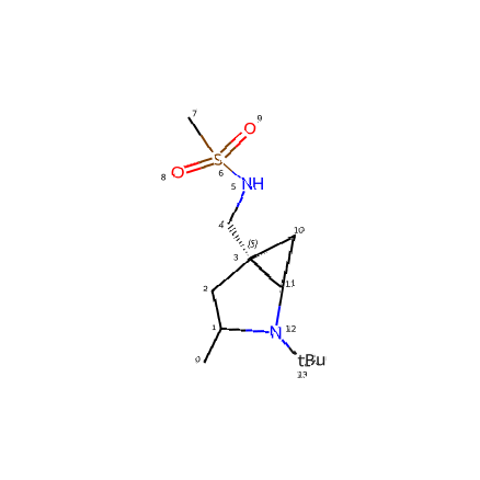 CC1C[C@@]2(CNS(C)(=O)=O)CC2N1C(C)(C)C